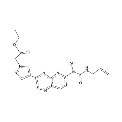 C=CCNC(=O)N(S)c1ccc2ncc(-c3cnn(CC(=O)OCC)c3)nc2n1